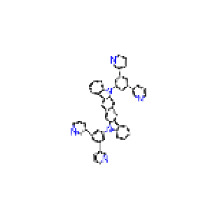 c1cncc(-c2cc(-c3cccnc3)cc(-n3c4ccccc4c4cc5cc6c(cc5cc43)c3ccccc3n6-c3cc(-c4cccnc4)cc(-c4cccnc4)c3)c2)c1